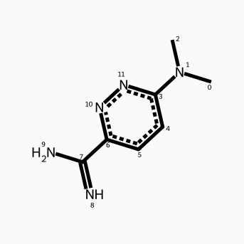 CN(C)c1ccc(C(=N)N)nn1